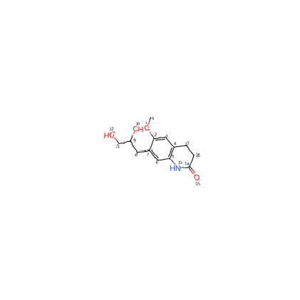 COc1cc2c(cc1CC(O)CO)NC(=O)CC2